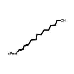 CCCCCC=CC=CCCCCCCCCCO